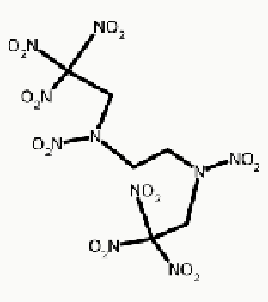 O=[N+]([O-])N(CCN(CC([N+](=O)[O-])([N+](=O)[O-])[N+](=O)[O-])[N+](=O)[O-])CC([N+](=O)[O-])([N+](=O)[O-])[N+](=O)[O-]